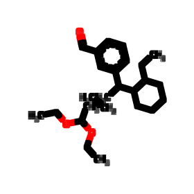 C=C.CCC1CCCCC1C(C)c1cccc(C=O)c1.CCOC(C)OCC